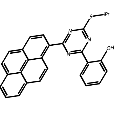 CC(C)Sc1nc(-c2ccccc2O)nc(-c2ccc3ccc4cccc5ccc2c3c45)n1